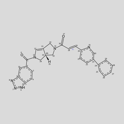 O=C(c1ccc2[nH]nnc2c1)N1C=C2CN(C(=O)/C=C/c3ccc(-c4ccccc4)cn3)C[C@@H]2C1